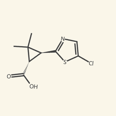 CC1(C)[C@@H](C(=O)O)[C@@H]1c1ncc(Cl)s1